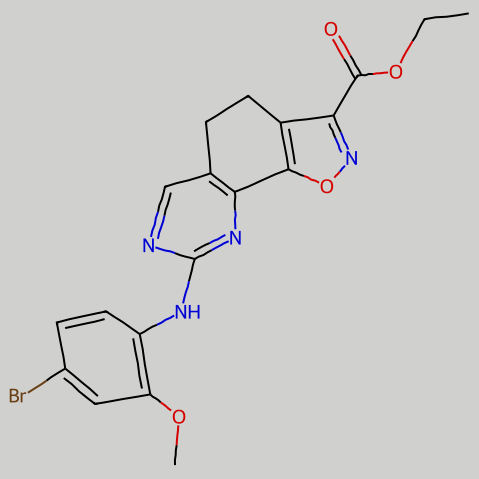 CCOC(=O)c1noc2c1CCc1cnc(Nc3ccc(Br)cc3OC)nc1-2